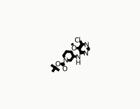 COc1c(Cl)ncnc1NC1CCCN(C(=O)OC(C)(C)C)C1